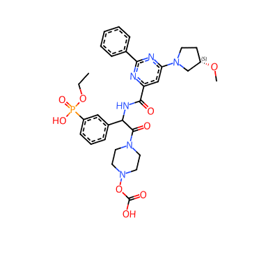 CCOP(=O)(O)c1cccc(C(NC(=O)c2cc(N3CC[C@H](OC)C3)nc(-c3ccccc3)n2)C(=O)N2CCN(OC(=O)O)CC2)c1